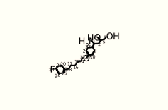 NC(CC(O)CCO)c1ccc(OCCCCCCc2ccc(F)cc2)cc1